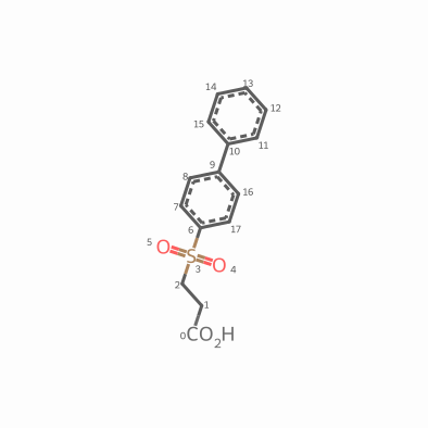 O=C(O)CCS(=O)(=O)c1ccc(-c2ccccc2)cc1